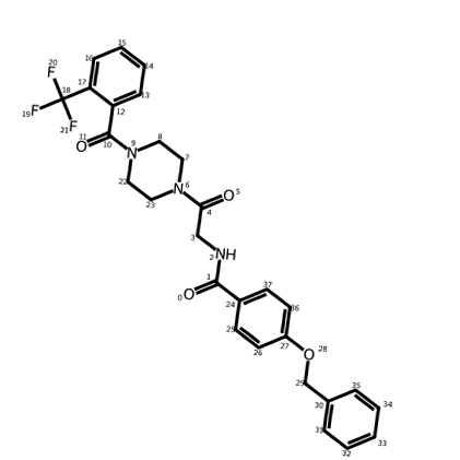 O=C(NCC(=O)N1CCN(C(=O)c2ccccc2C(F)(F)F)CC1)c1ccc(OCc2ccccc2)cc1